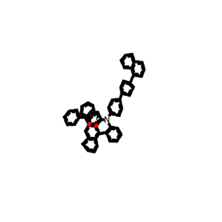 c1ccc(-c2ccc(N(c3ccc(-c4ccc(-c5cccc6ccccc56)cc4)cc3)c3ccccc3-c3c4ccccc4cc4c3oc3ccccc34)cc2)cc1